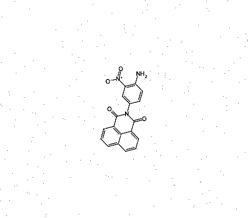 Nc1ccc(N2C(=O)c3cccc4cccc(c34)C2=O)cc1[N+](=O)[O-]